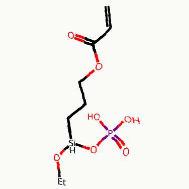 C=CC(=O)OCCC[SiH](OCC)OP(=O)(O)O